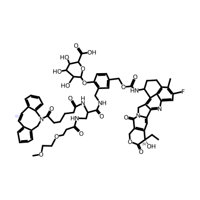 CC[C@@]1(O)C(=O)OCc2c1cc1n(c2=O)Cc2c-1nc1cc(F)c(C)c3c1c2C(NC(=O)OCc1ccc(OC2OC(C(=O)O)C(O)C(O)C2O)c(CNC(=O)C(CNC(=O)CCOCCOC)NC(=O)CCCCC(=O)N2Cc4ccccc4/C=C\c4ccccc42)c1)CC3